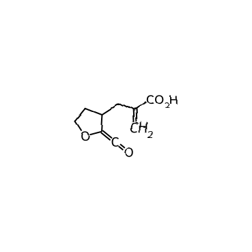 C=C(CC1CCOC1=C=O)C(=O)O